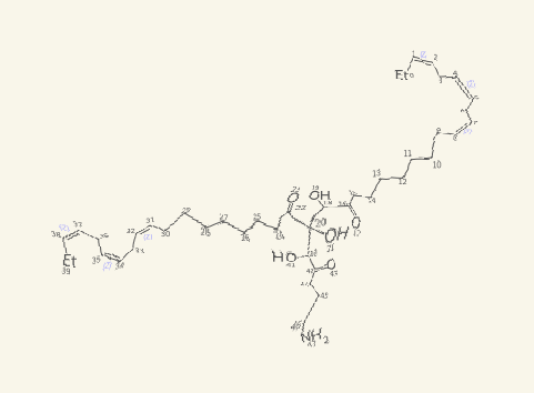 CC/C=C\C/C=C\C/C=C\CCCCCCCC(=O)C(O)C(O)(C(=O)CCCCCCC/C=C\C/C=C\C/C=C\CC)C(O)C(=O)CCCN